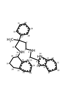 CC(CCNCc1nc2ccccc2[nH]1)(CNC1CCCc2cccnc21)c1ccccc1